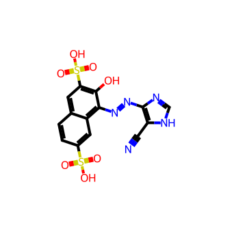 N#Cc1[nH]cnc1/N=N/c1c(O)c(S(=O)(=O)O)cc2ccc(S(=O)(=O)O)cc12